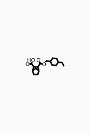 CCC1CCC(COC(=O)C2C3CCC(C3)C2C(=O)O)CC1